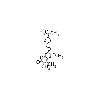 CCc1cc2c(C)c(C)c(=O)oc2cc1OCc1ccc(C(C)C)cc1